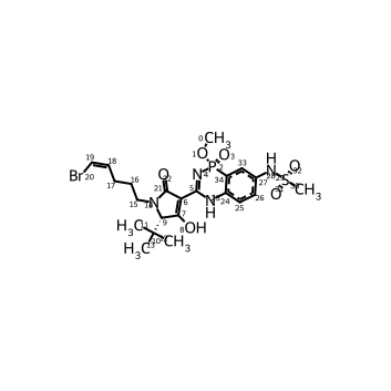 COP1(=O)N=C(C2=C(O)[C@H](C(C)(C)C)N(CCC/C=C\Br)C2=O)Nc2ccc(NS(C)(=O)=O)cc21